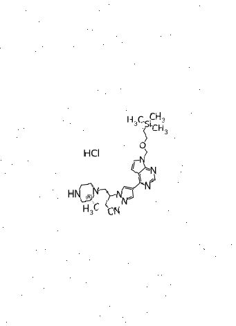 C[C@@H]1CNCCN1CC(CC#N)n1cc(-c2ncnc3c2ccn3COCC[Si](C)(C)C)cn1.Cl